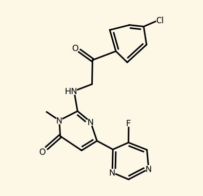 Cn1c(NCC(=O)c2ccc(Cl)cc2)nc(-c2ncncc2F)cc1=O